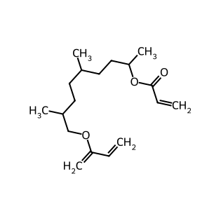 C=CC(=C)OCC(C)CCC(C)CCC(C)OC(=O)C=C